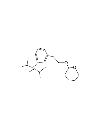 CC(C)[Si](F)(c1cccc(CCOC2CCCCO2)c1)C(C)C